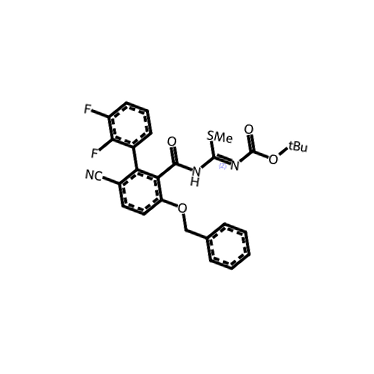 CS/C(=N\C(=O)OC(C)(C)C)NC(=O)c1c(OCc2ccccc2)ccc(C#N)c1-c1cccc(F)c1F